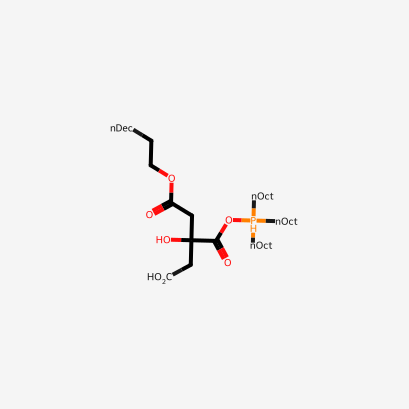 CCCCCCCCCCCCOC(=O)CC(O)(CC(=O)O)C(=O)O[PH](CCCCCCCC)(CCCCCCCC)CCCCCCCC